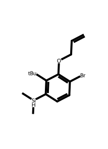 C=CCOc1c(Br)ccc([SiH](C)C)c1C(C)(C)C